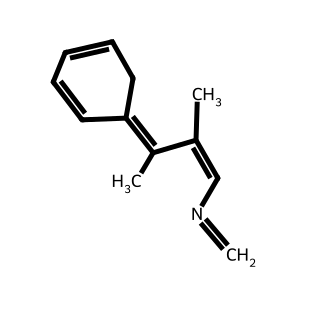 C=N/C=C(C)\C(C)=C1\C=CC=CC1